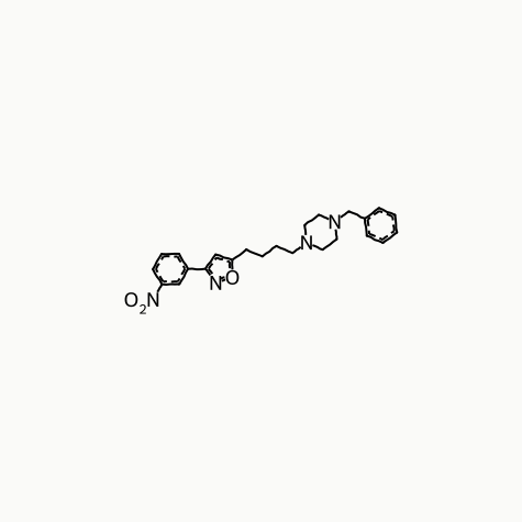 O=[N+]([O-])c1cccc(-c2cc(CCCCN3CCN(Cc4ccccc4)CC3)on2)c1